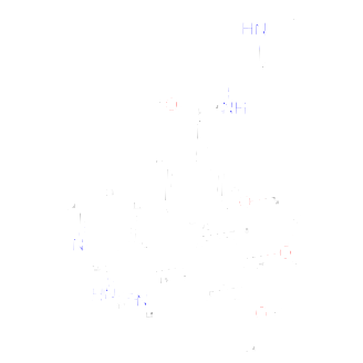 CNCCNC(=O)c1cccc(-c2ccnc3[nH]nc(-c4cc(OC)c(OC)c(OC)c4)c23)c1